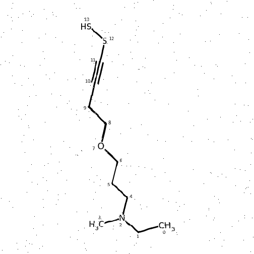 CCN(C)CCCOCCC#CSS